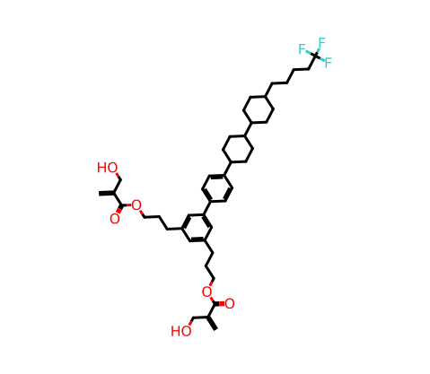 C=C(CO)C(=O)OCCCc1cc(CCCOC(=O)C(=C)CO)cc(-c2ccc(C3CCC(C4CCC(CCCCC(F)(F)F)CC4)CC3)cc2)c1